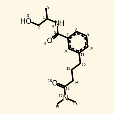 CC(CO)NC(=O)c1cccc(CCCC(=O)N(C)C)c1